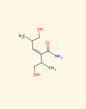 CC(C=C(C(N)=O)C(C)CO)CO